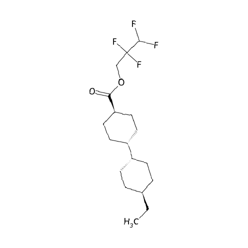 CC[C@H]1CC[C@H]([C@H]2CC[C@H](C(=O)OCC(F)(F)C(F)F)CC2)CC1